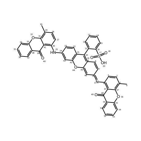 Cc1ccc(N=c2ccc3c(-c4ccccc4S(=O)(=O)O)c4ccc(Nc5ccc(C)c6oc7ccccc7c(=O)c56)cc4oc-3c2)c2c(=O)c3ccccc3oc12